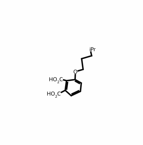 CC(C)CCCOc1cccc(C(=O)O)c1C(=O)O